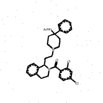 CC(=O)NC1(c2ccccc2)CCN(CCC2c3ccccc3CCN2C(=O)c2ccc(Cl)cc2Cl)CC1